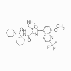 COc1ccc(-c2nc(C(=O)NC3(C(=O)N4CCCCC4)CCCCC3)c(CN)o2)c2ccc(C(F)(F)F)nc12